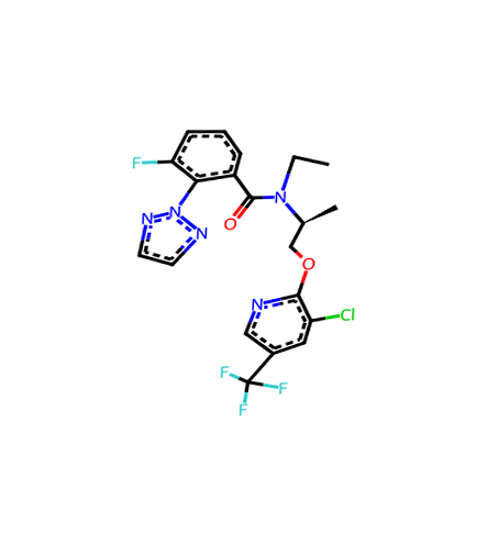 CCN(C(=O)c1cccc(F)c1-n1nccn1)[C@@H](C)COc1ncc(C(F)(F)F)cc1Cl